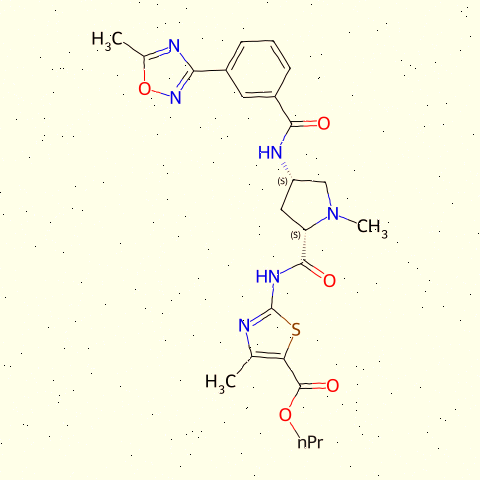 CCCOC(=O)c1sc(NC(=O)[C@@H]2C[C@H](NC(=O)c3cccc(-c4noc(C)n4)c3)CN2C)nc1C